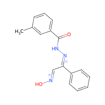 Cc1cccc(C(=O)N/N=C(\C=N\O)c2ccccc2)c1